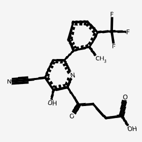 Cc1c(-c2cc(C#N)c(O)c(C(=O)CCC(=O)O)n2)cccc1C(F)(F)F